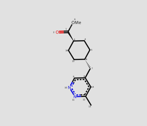 COC(=O)[C@H]1CC[C@H](Cc2cnnc(C)c2)CC1